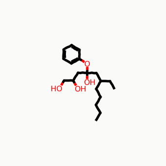 CCCCCC(CC)CC(O)(CC(O)CO)Oc1ccccc1